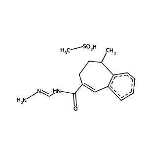 CC1CCC(C(=O)NC=NN)=Cc2ccccc21.CS(=O)(=O)O